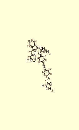 CNC(=O)CCc1ccc(C#Cc2ccc(OC(C)C)c(C(=O)N[C@@H](CO)Cc3c[nH]c4ccccc34)c2)cc1